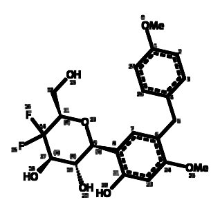 COc1ccc(Cc2cc([C@@H]3O[C@H](CO)C(F)(F)[C@H](O)[C@H]3O)c(O)cc2OC)cc1